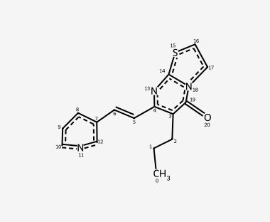 CCCc1c(/C=C/c2cccnc2)nc2sccn2c1=O